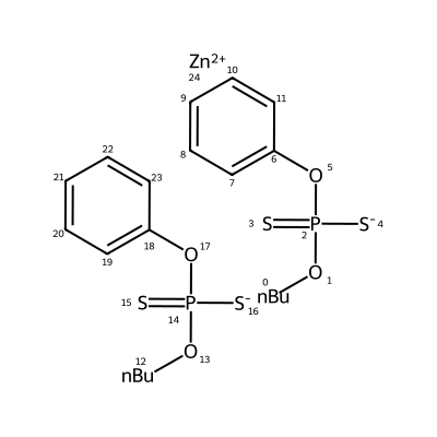 CCCCOP(=S)([S-])Oc1ccccc1.CCCCOP(=S)([S-])Oc1ccccc1.[Zn+2]